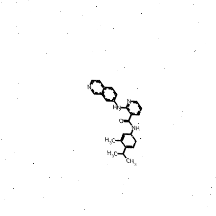 CC1=CC(NC(=O)c2cccnc2Nc2ccc3ccncc3c2)CC=C1C(C)C